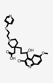 COc1ccc2ncc(Cl)c([C@H](O)CCC3(CC(=O)O)CCN(CCSc4ccncc4)CC3)c2c1